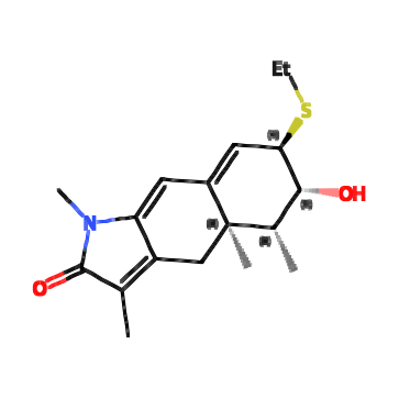 CCS[C@@H]1C=C2C=C3C(=C(C)C(=O)N3C)C[C@]2(C)[C@@H](C)[C@H]1O